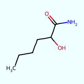 CCCCC(O)C(N)=O